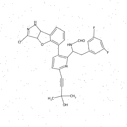 CC(C)(O)C#Cc1ccc(-c2cccc3c2OC2C(Cl)=NNC32)c(C(Cc2cc(F)cc(F)c2)NC=O)n1